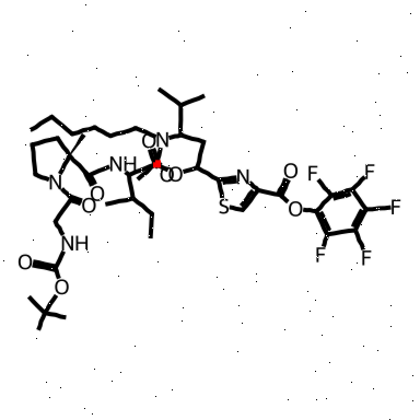 CCCCCCN(C(=O)C(NC(=O)[C@@]1(C)CCCN1C(=O)CNC(=O)OC(C)(C)C)C(C)CC)C(CC(OC(C)=O)c1nc(C(=O)Oc2c(F)c(F)c(F)c(F)c2F)cs1)C(C)C